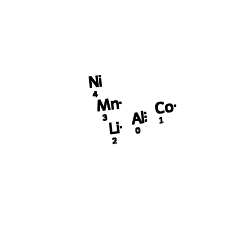 [Al].[Co].[Li].[Mn].[Ni]